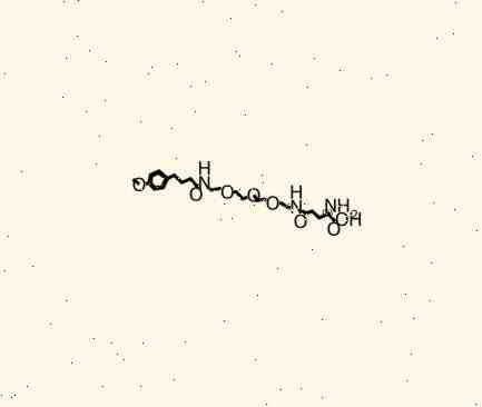 COc1ccc(CCCC(=O)NCCOCCOCCOCCNC(=O)CC[C@H](N)C(=O)O)cc1